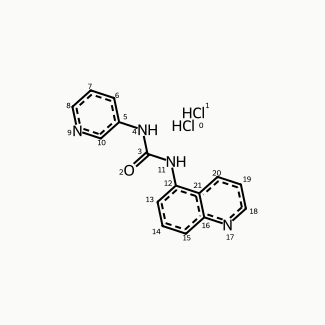 Cl.Cl.O=C(Nc1cccnc1)Nc1cccc2ncccc12